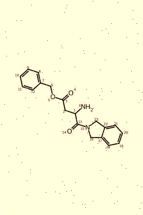 NC(CC(=O)OCc1ccccc1)C(=O)N1Cc2ccccc2C1